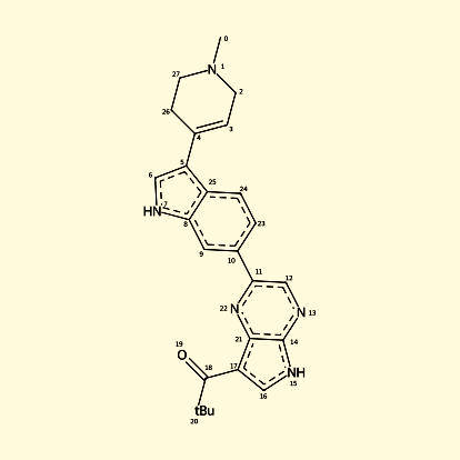 CN1CC=C(c2c[nH]c3cc(-c4cnc5[nH]cc(C(=O)C(C)(C)C)c5n4)ccc23)CC1